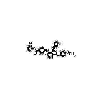 COc1ccc(Cn2nc(N[C@@H]3CCNC3)c3c(Oc4ccc(C(=O)Nc5ncc[nH]5)cc4)ccnc32)cc1